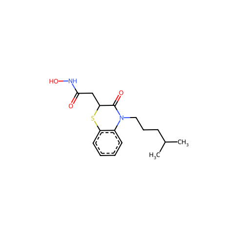 CC(C)CCCN1C(=O)C(CC(=O)NO)Sc2ccccc21